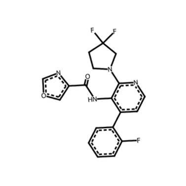 O=C(Nc1c(-c2ccccc2F)ccnc1N1CCC(F)(F)C1)c1cocn1